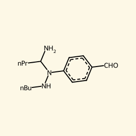 CCCCNN(c1ccc(C=O)cc1)C(N)CCC